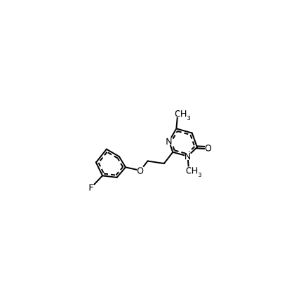 Cc1cc(=O)n(C)c(CCOc2cccc(F)c2)n1